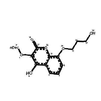 CCCCCCCCCCOc1c(O)c2cccc(OCCCO)c2oc1=O